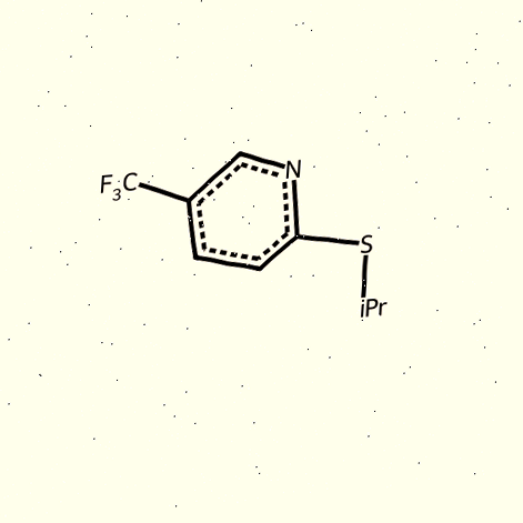 CC(C)Sc1ccc(C(F)(F)F)cn1